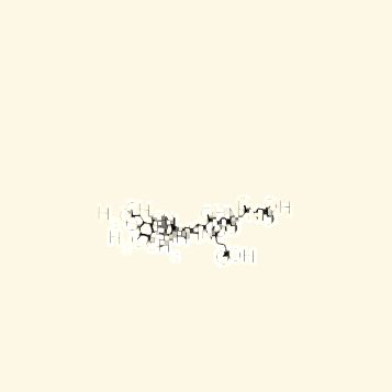 Cc1c(C)c(S(=O)(=O)NC(=N)NCCCC(NC(=O)CCC(=O)O)C(=O)NCC(=O)NCC(=O)NCC(=O)O)c(C)c2c1OC(C)(C)C2